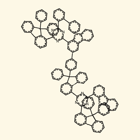 c1ccc(-c2ccccc2-c2nc(-c3cccc4c3C(c3ccccc3)(c3ccccc3)c3ccccc3-4)nc(-c3cc(-c4ccc(C5(c6ccccc6)c6ccccc6-c6c(-c7nc(-c8cccc9c8C(c8ccccc8)(c8ccccc8)c8ccccc8-9)nc(-c8cccc9c8sc8ccccc89)n7)cccc65)cc4)cc4c3sc3ccccc34)n2)cc1